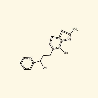 Cc1cn2ccc(CCC(O)c3ccccc3)c(O)c2n1